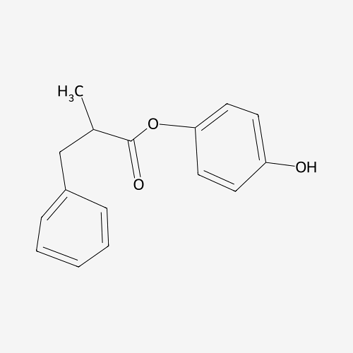 CC(Cc1ccccc1)C(=O)Oc1ccc(O)cc1